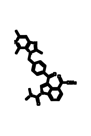 COC(=O)c1cccc2c1c(C(=O)c1ccc(Cn3c(C)nc4cc(C)nc(C)c43)cc1)cn2C(=O)N(C)C